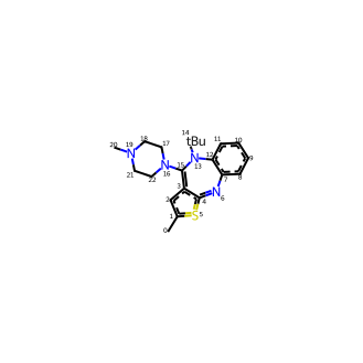 Cc1cc2c(s1)=Nc1ccccc1N(C(C)(C)C)C=2N1CCN(C)CC1